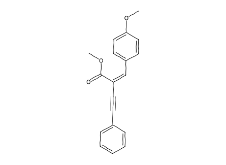 COC(=O)C(C#Cc1ccccc1)=Cc1ccc(OC)cc1